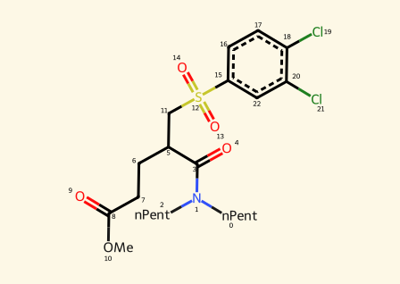 CCCCCN(CCCCC)C(=O)C(CCC(=O)OC)CS(=O)(=O)c1ccc(Cl)c(Cl)c1